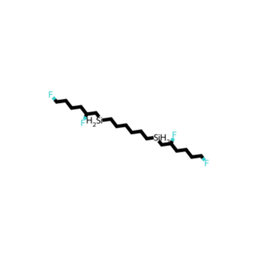 FCCCCC(F)C[SiH2]CCCCCC[SiH2]CC(F)CCCCF